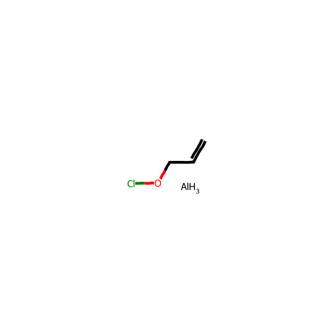 C=CCOCl.[AlH3]